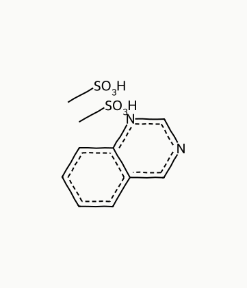 CS(=O)(=O)O.CS(=O)(=O)O.c1ccc2ncncc2c1